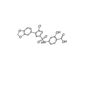 O=C(O)c1ccc(NS(=O)(=O)c2cc(-c3ccc4c(c3)OCO4)c(Cl)s2)cc1O